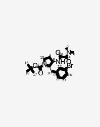 CN(C)C(=O)C(=O)N[C@H]1CCN(C(=O)OC(C)(C)C)[C@H]1Cc1cccc(Br)c1